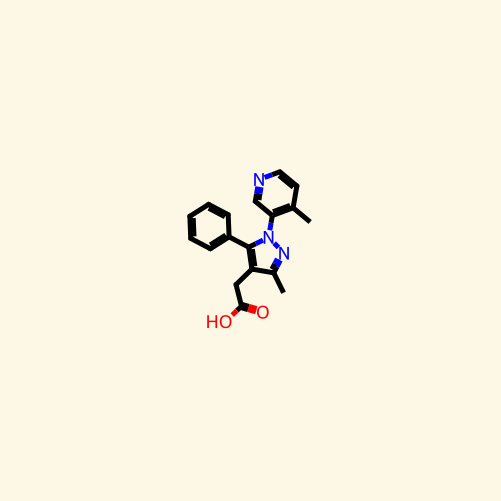 Cc1ccncc1-n1nc(C)c(CC(=O)O)c1-c1ccccc1